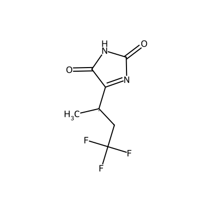 C[C](CC(F)(F)F)C1=NC(=O)NC1=O